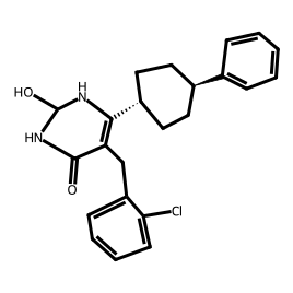 O=C1NC(O)NC([C@H]2CC[C@H](c3ccccc3)CC2)=C1Cc1ccccc1Cl